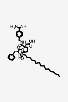 CCCCCCCCCCCCCCCCS(=O)(=O)N[C@H](Cc1ccccc1)C(=O)N1CCC[C@@]1(CC(=O)O)C(=O)NCc1ccc(C(=N)N)cc1